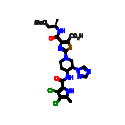 COC[C@H](C)NC(=O)c1nc(N2CCC(NC(=O)c3[nH]c(C)c(Cl)c3Cl)C(n3cncn3)C2)sc1C(=O)O